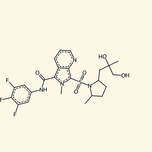 CC1CCC(CC(C)(O)CO)N1S(=O)(=O)c1c2ncccc2c(C(=O)Nc2cc(F)c(F)c(F)c2)n1C